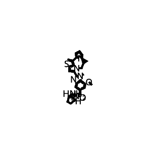 COc1cc(C(=O)N2C[C@H]3CC[C@@H]2[C@@H]3N)cc2nc(-c3cc4scc(-c5cccn5C)c4n3CC3CC3)n(C)c12